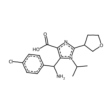 CC(C)n1c(C2CCOC2)nc(C(=O)O)c1C(N)c1ccc(Cl)cc1